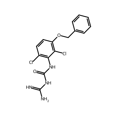 N=C(N)NC(=O)Nc1c(Cl)ccc(OCc2ccccc2)c1Cl